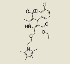 CCOC(=O)C1=C(COCCn2c(C)nc(C)c2C)NC(C)=C(C(=O)OC)C1c1cccc(Cl)c1Cl